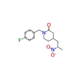 CC(CC1CCN(Cc2ccc(F)cc2)C(=O)C1)[N+](=O)[O-]